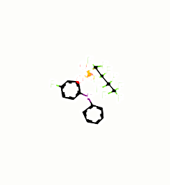 Fc1ccc([I+]c2ccccc2)cc1.O=S(=O)([O-])C(F)(F)C(F)(F)C(F)(F)C(F)(F)F